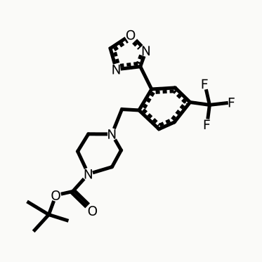 CC(C)(C)OC(=O)N1CCN(Cc2ccc(C(F)(F)F)cc2-c2ncon2)CC1